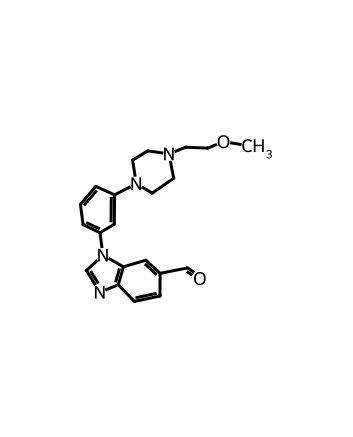 COCCN1CCN(c2cccc(-n3cnc4ccc(C=O)cc43)c2)CC1